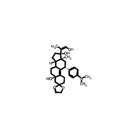 C/C(=C/O)[C@@]1(O)CC[C@H]2C3CC[C@@]4(O)CC5(CCC4=C3[C@@H](c3ccc(N(C)C)cc3)C[C@]21C)OCCO5